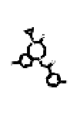 O=C(CN1CCC(=O)N(C2CC2)Cc2cc(F)ccc21)c1cccc(F)c1